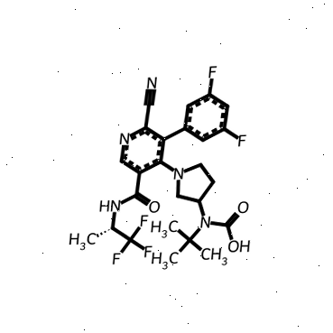 C[C@H](NC(=O)c1cnc(C#N)c(-c2cc(F)cc(F)c2)c1N1CCC(N(C(=O)O)C(C)(C)C)C1)C(F)(F)F